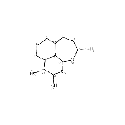 C[C@H]1CCC2CCCC3C2C(OC(O)[C@@H]3S)O1